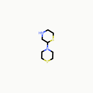 C1CSC(N2CCSCC2)CN1